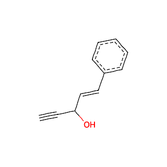 C#CC(O)/C=C/c1ccccc1